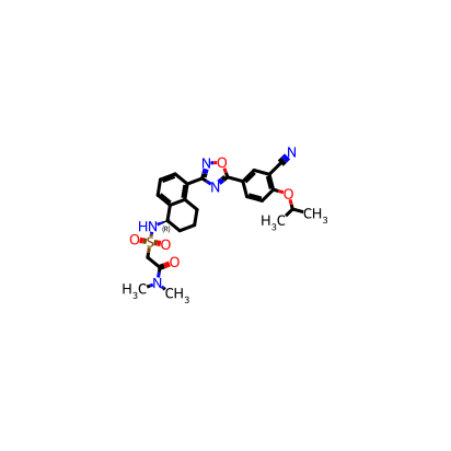 CC(C)Oc1ccc(-c2nc(-c3cccc4c3CCC[C@H]4NS(=O)(=O)CC(=O)N(C)C)no2)cc1C#N